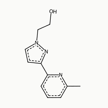 Cc1cccc(-c2ccn(CCO)n2)n1